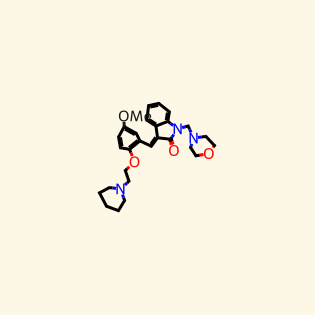 COc1ccc(OCCN2CCCCC2)c(/C=C2/C(=O)N(CN3CCOCC3)c3ccccc32)c1